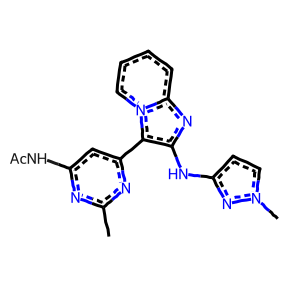 CC(=O)Nc1cc(-c2c(Nc3ccn(C)n3)nc3ccccn23)nc(C)n1